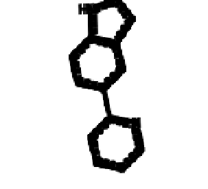 c1ccc(-c2ccc3[nH]ccc3c2)nc1